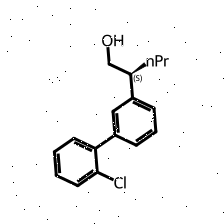 CCC[C@H](CO)c1cccc(-c2ccccc2Cl)c1